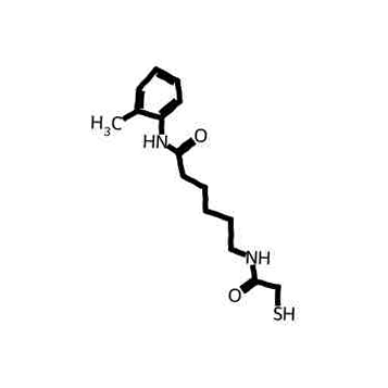 Cc1ccccc1NC(=O)CCCCCNC(=O)CS